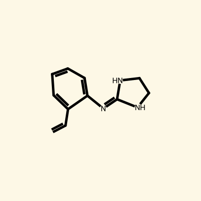 C=Cc1ccccc1N=C1NCCN1